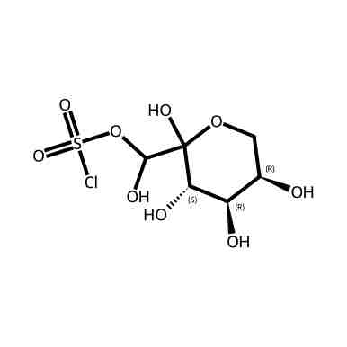 O=S(=O)(Cl)OC(O)C1(O)OC[C@@H](O)[C@@H](O)[C@@H]1O